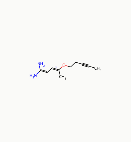 CC#CCCO/C(C)=C/C=C(N)N